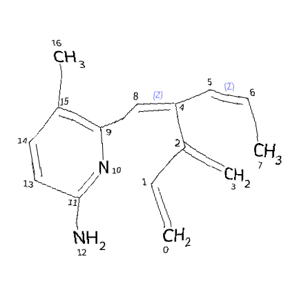 C=CC(=C)C(/C=C\C)=C\c1nc(N)ccc1C